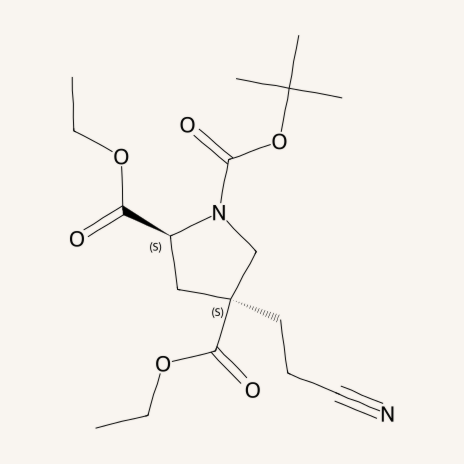 CCOC(=O)[C@@H]1C[C@](CCC#N)(C(=O)OCC)CN1C(=O)OC(C)(C)C